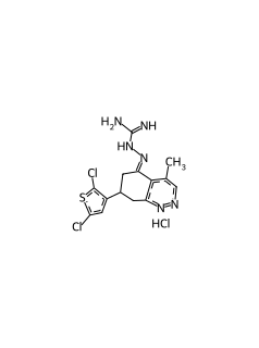 Cc1cnnc2c1C(=NNC(=N)N)CC(c1cc(Cl)sc1Cl)C2.Cl